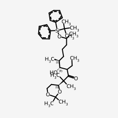 CCC(C(=O)C(C)(C)[C@@H]1CCOC(C)(C)O1)[C@H](O)[C@@H](C)CCCC(C)O[Si](c1ccccc1)(c1ccccc1)C(C)(C)C